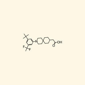 CC(C)(C)c1cc(N2CCC3(CCC(CC(=O)O)CC3)CC2)cc(C(C)(F)F)c1